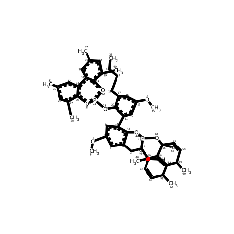 CCCCc1cc(OC)cc(-c2cc(OC)cc(CCCC)c2Op2oc3c(C)cc(C)cc3c3cc(C)cc(C)c3o2)c1OP1OC2(C)C=CC(C)C3=C2C(C)(C=CC3C)O1